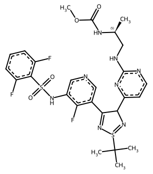 COC(=O)N[C@@H](C)CNc1nccc(C2N=S(C(C)(C)C)N=C2c2cncc(NS(=O)(=O)c3c(F)cccc3F)c2F)n1